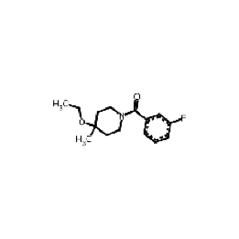 CCOC1(C)CCN(C(=O)c2cccc(F)c2)CC1